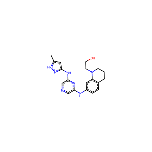 Cc1cc(Nc2cncc(Nc3ccc4c(c3)N(CCO)CCC4)n2)n[nH]1